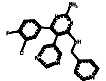 Nc1nc(NCc2ccncc2)c(-c2cncnc2)c(-c2ccc(F)c(Cl)c2)n1